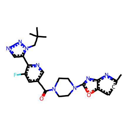 Cc1ccc2oc(N3CCN(C(=O)c4cnc(-c5cnnn5CC(C)(C)C)c(F)c4)CC3)nc2n1